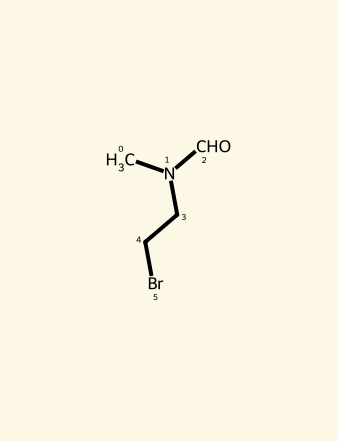 CN(C=O)CCBr